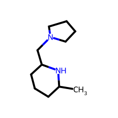 CC1CCCC(CN2CCCC2)N1